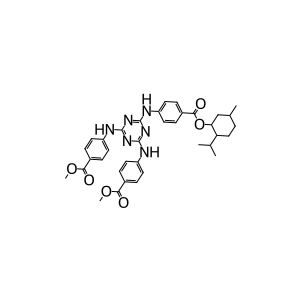 COC(=O)c1ccc(Nc2nc(Nc3ccc(C(=O)OC)cc3)nc(Nc3ccc(C(=O)OC4CC(C)CCC4C(C)C)cc3)n2)cc1